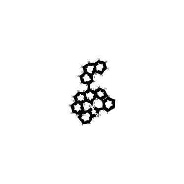 c1ccc(-c2nc3ccccc3n2-c2c3ccccc3c(-c3ccc4ccc5ccccc5c4c3)c3ccc4ccccc4c23)cc1